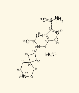 Cl.NC(=O)c1cc(CN(C(=O)O)C2CC3(CCNCC3)C2)on1